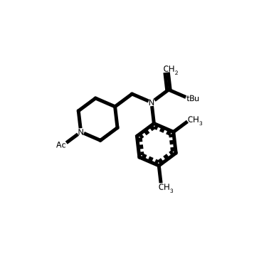 C=C(N(CC1CCN(C(C)=O)CC1)c1ccc(C)cc1C)C(C)(C)C